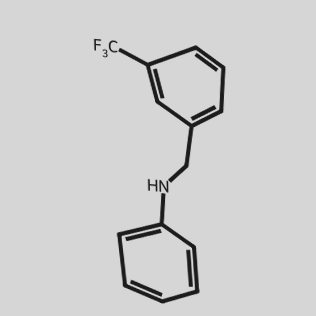 FC(F)(F)c1cccc(CNc2ccccc2)c1